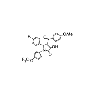 COc1ccc(C(=O)C2=C(O)C(=O)N(c3ccc(OC(F)(F)F)cc3)C2c2ccc(F)cc2)cc1